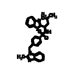 Cc1nc2ccccc2n1Cc1ccc(S(=O)(=O)NC(CC(C)C)c2nc3ccccc3s2)cc1